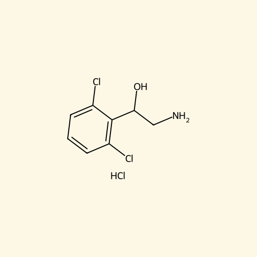 Cl.NCC(O)c1c(Cl)cccc1Cl